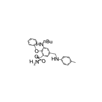 CCCCNc1cc(CNc2ccc(C)cc2)cc(S(N)(=O)=O)c1Oc1ccccc1